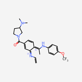 C=C/N=C1/C=C(C(=O)N2CCC(N(C)C)C2)C=C/C1=C(/C)Nc1ccc(OC(F)(F)F)cc1